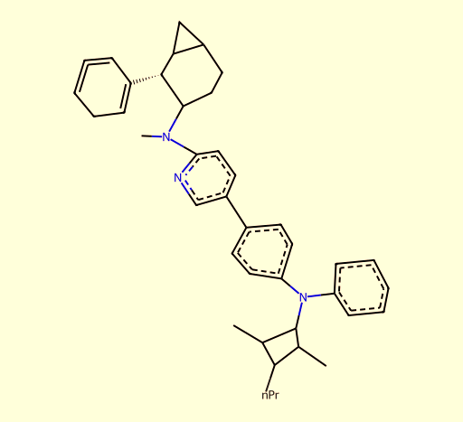 CCCC1C(C)C(N(c2ccccc2)c2ccc(-c3ccc(N(C)C4CCC5CC5[C@H]4C4=CCC=C=C4)nc3)cc2)C1C